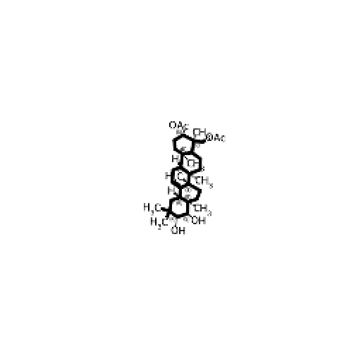 CC(=O)OC[C@@]1(C)C2CC[C@]3(C)[C@H](CC=C4[C@H]5CC(C)(C)[C@@H](O)[C@@H](O)[C@]5(C)CC[C@]43C)[C@@]2(C)CC[C@@H]1OC(C)=O